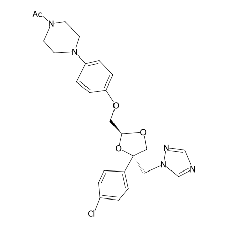 CC(=O)N1CCN(c2ccc(OC[C@H]3OC[C@@](Cn4cncn4)(c4ccc(Cl)cc4)O3)cc2)CC1